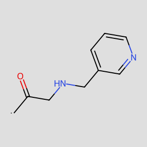 [CH2]C(=O)CNCc1cccnc1